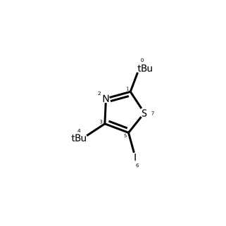 CC(C)(C)c1nc(C(C)(C)C)c(I)s1